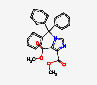 COC(=O)c1ncn(C(c2ccccc2)(c2ccccc2)c2ccccc2)c1C(=O)OC